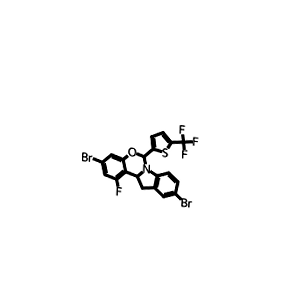 Fc1cc(Br)cc2c1C1Cc3cc(Br)ccc3N1C(c1ccc(C(F)(F)F)s1)O2